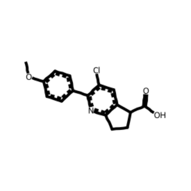 COc1ccc(-c2nc3c(cc2Cl)C(C(=O)O)CC3)cc1